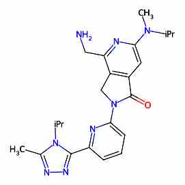 Cc1nnc(-c2cccc(N3Cc4c(cc(N(C)C(C)C)nc4CN)C3=O)n2)n1C(C)C